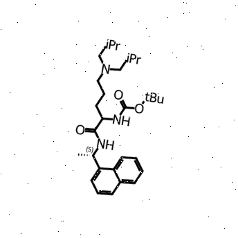 CC(C)CN(CCCC(NC(=O)OC(C)(C)C)C(=O)N[C@@H](C)c1cccc2ccccc12)CC(C)C